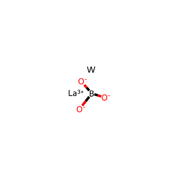 [La+3].[O-]B([O-])[O-].[W]